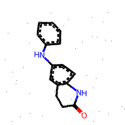 O=C1CCc2cc(Nc3ccccc3)ccc2N1